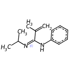 C=C(C)/C(=N\C(C)C)Nc1ccccc1